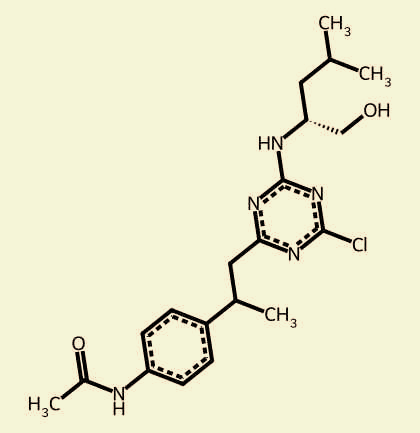 CC(=O)Nc1ccc(C(C)Cc2nc(Cl)nc(N[C@@H](CO)CC(C)C)n2)cc1